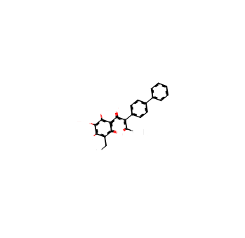 Cc1oc2c(CC(C)C)c(O)c(O)c(O)c2c(=O)c1-c1ccc(-c2ccccc2)cc1